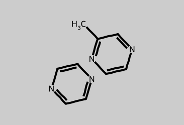 Cc1cnccn1.c1cnccn1